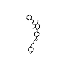 Cc1c(OCc2ccccc2)c(=O)ccn1-c1ccc(OCCCN2CCOCC2)cc1